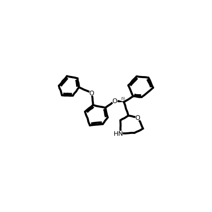 c1ccc(Oc2ccccc2O[C@@H](c2ccccc2)C2CNCCO2)cc1